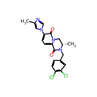 Cc1cn(-c2ccc3n(c2=O)C[C@H](C)N(Cc2ccc(Cl)c(Cl)c2)C3=O)cn1